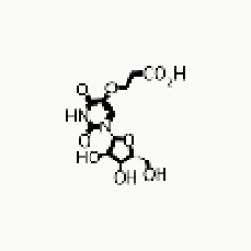 O=C(O)CCOc1cn([C@@H]2O[C@H](CO)[C@@H](O)[C@H]2O)c(=O)[nH]c1=O